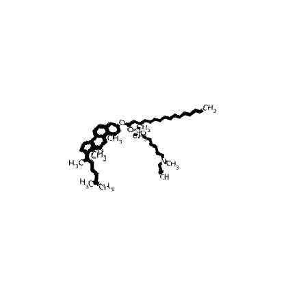 C#CCN(C)CCCCCCO[Si](C)(C)OC(CCCCCCCCCCCCCCC)OC1CCC2(C)C(=CCC3C2CCC2(C)C(C(C)CCCC(C)C)CCC32)C1